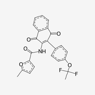 Cc1ccc(C(=O)NC2=C(c3ccc(OC(C)(F)F)cc3)C(=O)c3ccccc3C2=O)o1